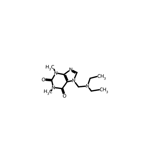 CCN(CC)Cn1cnc2c1c(=O)n(C)c(=O)n2C